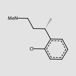 CNCC[C@H](C)c1ccccc1Cl